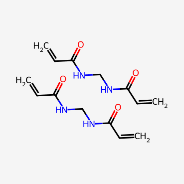 C=CC(=O)NCNC(=O)C=C.C=CC(=O)NCNC(=O)C=C